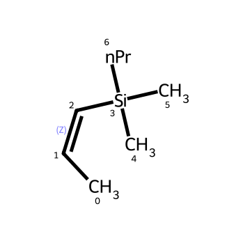 C/C=C\[Si](C)(C)CCC